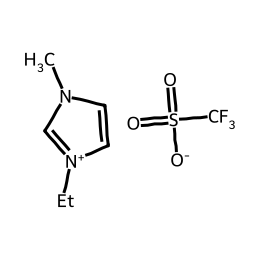 CC[n+]1ccn(C)c1.O=S(=O)([O-])C(F)(F)F